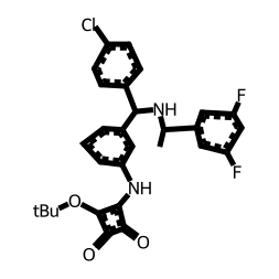 CC(NC(c1ccc(Cl)cc1)c1cccc(Nc2c(OC(C)(C)C)c(=O)c2=O)c1)c1cc(F)cc(F)c1